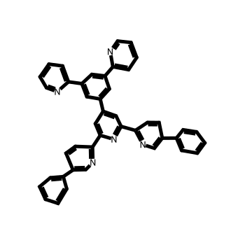 c1ccc(-c2ccc(-c3cc(-c4cc(-c5ccccn5)cc(-c5ccccn5)c4)cc(-c4ccc(-c5ccccc5)cn4)n3)nc2)cc1